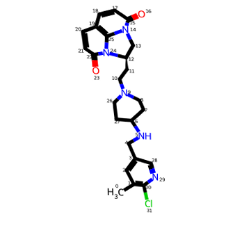 Cc1cc(CNC2CCN(CC[C@@H]3Cn4c(=O)ccc5ccc(=O)n3c54)CC2)cnc1Cl